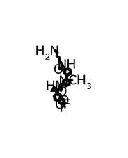 Cc1ccc(NC(=O)C2(c3ccc4c(c3)OC(F)(F)O4)CC2)nc1-c1cccc(C(=O)NCCCCN)c1